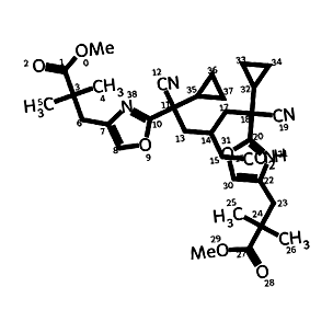 COC(=O)C(C)(C)Cc1coc(C(C#N)(CC(CC(=O)O)CC(C#N)(c2nc(CC(C)(C)C(=O)OC)co2)C2CC2)C2CC2)n1